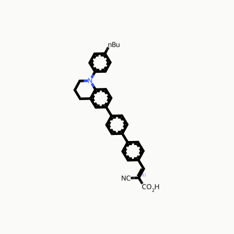 CCCCc1ccc(N2CCCc3cc(-c4ccc(-c5ccc(/C=C(\C#N)C(=O)O)cc5)cc4)ccc32)cc1